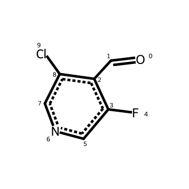 O=Cc1c(F)cncc1Cl